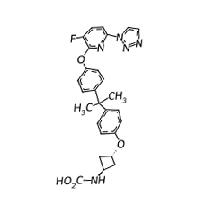 CC(C)(c1ccc(Oc2nc(-n3ccnn3)ccc2F)cc1)c1ccc(O[C@H]2C[C@H](NC(=O)O)C2)cc1